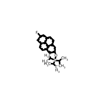 CC(C)[Si](Oc1cc2ccc3[c]c(F)cc4ccc(c1)c2c34)(C(C)C)C(C)C